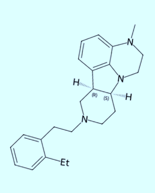 CCc1ccccc1CCN1CC[C@H]2[C@@H](C1)c1cccc3c1N2CCN3C